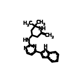 C=C1CC(Nc2nccc(-c3cc4ccccc4[nH]3)n2)CC(C)(C)N1